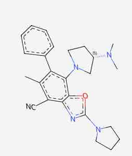 Cc1c(-c2ccccc2)c(N2CC[C@H](N(C)C)C2)c2oc(N3CCCC3)nc2c1C#N